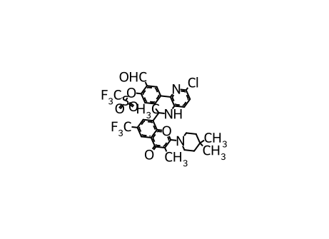 Cc1c(N2CCC(C)(C)CC2)oc2c(C(C)Nc3ccc(Cl)nc3-c3ccc(OS(=O)(=O)C(F)(F)F)c(C=O)c3)cc(C(F)(F)F)cc2c1=O